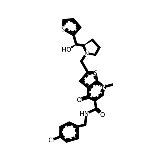 Cn1cc(C(=O)NCc2ccc(Cl)cc2)c(=O)c2cc(CN3CCC[C@@H]3[C@@H](O)c3cccs3)sc21